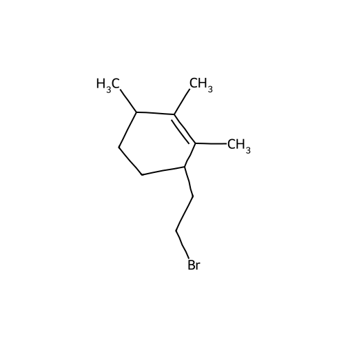 CC1=C(C)C(CCBr)CCC1C